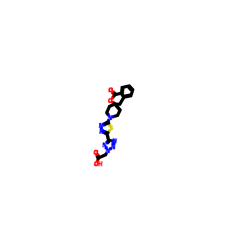 O=C(O)Cn1nnc(-c2nnc(N3CCC4(CC3)Cc3ccccc3C(=O)O4)s2)n1